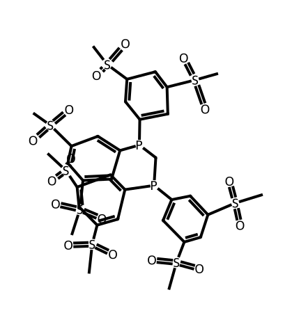 CS(=O)(=O)c1cc(P(CP(c2cc(S(C)(=O)=O)cc(S(C)(=O)=O)c2)c2cc(S(C)(=O)=O)cc(S(C)(=O)=O)c2)c2cc(S(C)(=O)=O)cc(S(C)(=O)=O)c2)cc(S(C)(=O)=O)c1